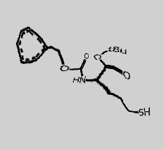 CC(C)(C)OC(=O)C(CCCS)NC(=O)OCc1ccccc1